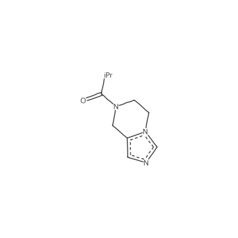 CC(C)C(=O)N1CCn2cncc2C1